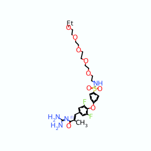 CCOCCOCCOCCOCCOCCNS(=O)(=O)c1ccc(Oc2c(F)cc(/C=C(\C)C(=O)N=C(N)N)cc2F)cc1